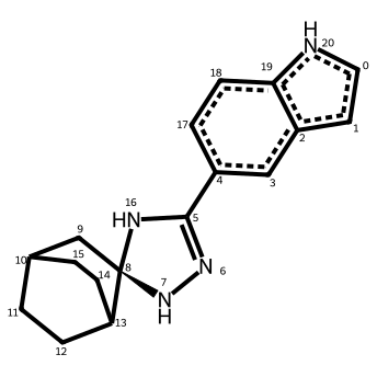 c1cc2cc(C3=NN[C@@]4(CC5CCC4CC5)N3)ccc2[nH]1